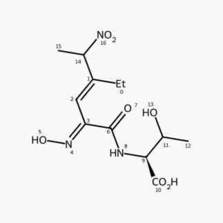 CC/C(=C\C(=N/O)C(=O)N[C@H](C(=O)O)C(C)O)C(C)[N+](=O)[O-]